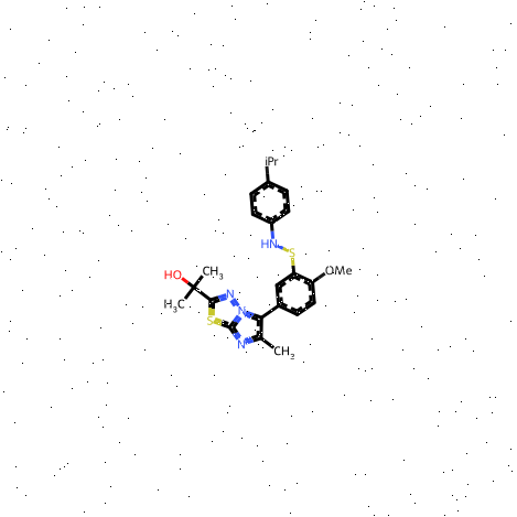 COc1ccc(-c2c(C)nc3sc(C(C)(C)O)nn23)cc1SNc1ccc(C(C)C)cc1